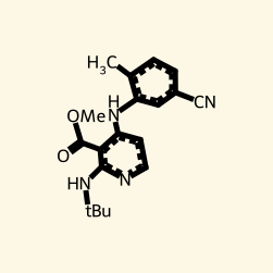 COC(=O)c1c(Nc2cc(C#N)ccc2C)ccnc1NC(C)(C)C